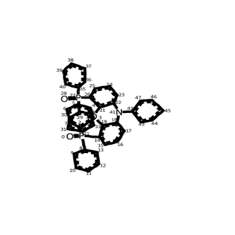 O=P(c1ccccc1)(c1ccccc1)c1cccc2c1Oc1c(cccc1P(=O)(c1ccccc1)c1ccccc1)N2c1ccccc1